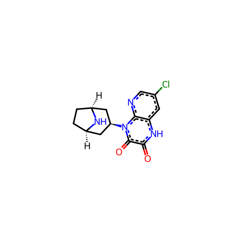 O=c1[nH]c2cc(Cl)cnc2n([C@H]2C[C@H]3CC[C@@H](C2)N3)c1=O